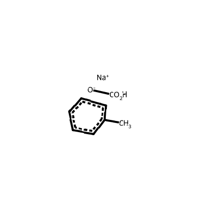 Cc1ccccc1.O=C([O-])O.[Na+]